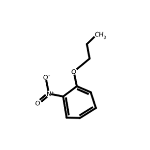 CCCOc1ccccc1[N+](=O)[O-]